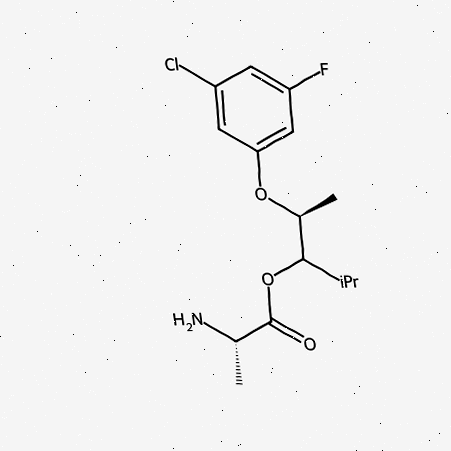 CC(C)C(OC(=O)[C@H](C)N)[C@H](C)Oc1cc(F)cc(Cl)c1